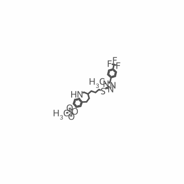 Cn1c(SCCCC2CCc3cc(OS(C)(=O)=O)ccc3NC2)nnc1-c1ccc(C(F)(F)F)cc1